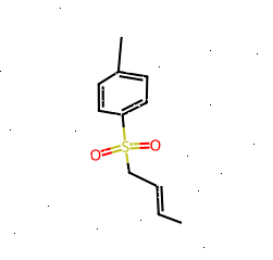 CC=CCS(=O)(=O)c1ccc(C)cc1